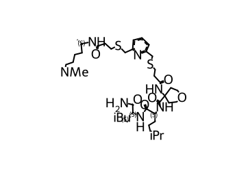 CC[C@H](C)[C@H](NC(=O)[C@H](CCC(C)C)NC(=O)C1(NC(=O)CCSCc2cccc(CSCCC(=O)N[C@@H](C)CCCCNC)n2)CCOCC1)C(N)=O